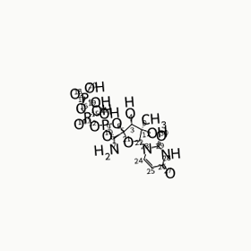 C[C@@]1(O)[C@H](O)[C@@](CN)(OP(=O)(O)OP(=O)(O)OP(=O)(O)O)O[C@H]1n1ccc(=O)[nH]c1=O